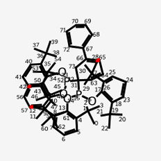 CC(C)(C)c1cccc(C(C)(C)C)c1OP(Oc1c(C(C)(C)C)cccc1C(C)(C)C)C1(P(Oc2c(C(C)(C)C)cccc2C(C)(C)C)Oc2c(C(C)(C)C)cccc2C(C)(C)C)C=CC=C(c2ccccc2)C1